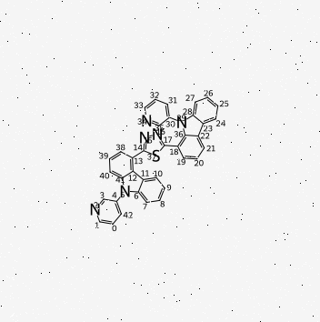 c1cncc(-n2c3ccccc3c3c(-c4nnc(-c5cccc6c7ccccc7n(-c7cccnc7)c56)s4)cccc32)c1